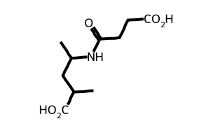 CC(CC(C)C(=O)O)NC(=O)CCC(=O)O